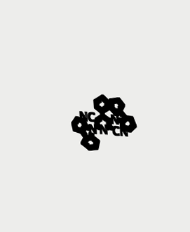 N#Cc1nc(-n2c3ccccc3c3ccccc32)c(C#N)c(-c2ccccc2)c1-n1c2ccccc2c2ccccc21